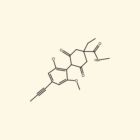 CC#Cc1cc(Cl)c(C2C(=O)CC(CC)(C(=O)NC)CC2=O)c(OC)c1